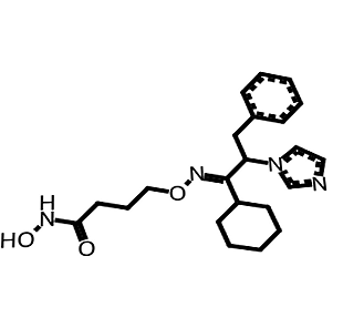 O=C(CCCO/N=C(\C1CCCCC1)C(Cc1ccccc1)n1ccnc1)NO